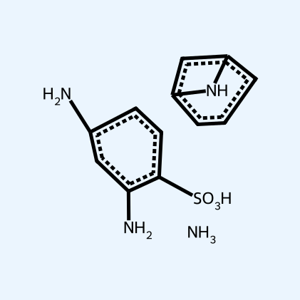 N.Nc1ccc(S(=O)(=O)O)c(N)c1.c1cc2cc(c1)N2